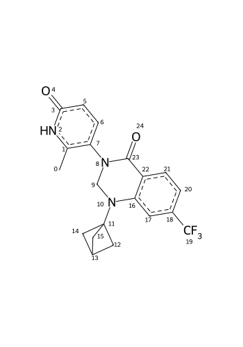 Cc1[nH]c(=O)ccc1N1CN(C23CC(C2)C3)c2cc(C(F)(F)F)ccc2C1=O